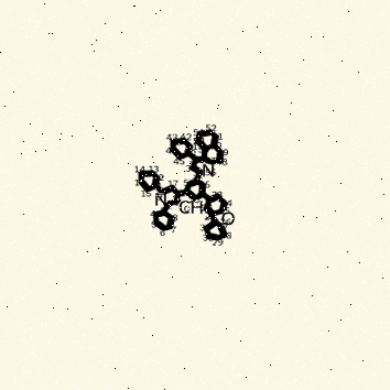 C=C1C(c2ccccc2)=NC(c2ccccc2)=CC1c1cc(-c2ccc3oc4ccccc4c3c2)cc(-c2cc(-c3ccccc3)c3c(ccc4ccccc43)n2)c1